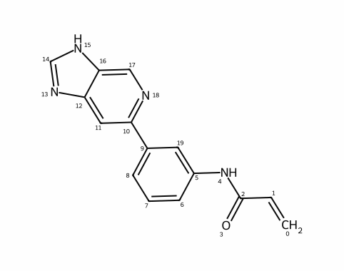 C=CC(=O)Nc1cccc(-c2cc3nc[nH]c3cn2)c1